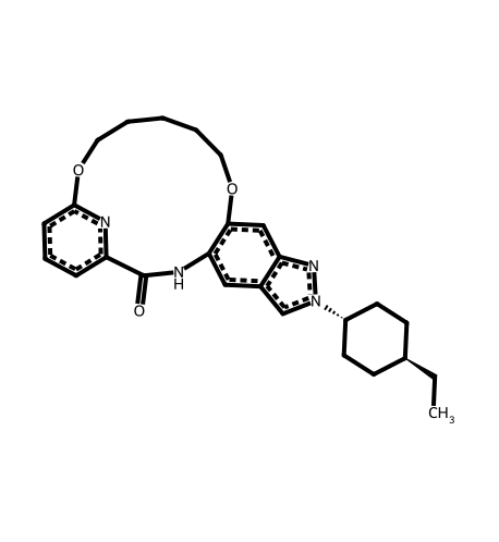 CC[C@H]1CC[C@H](n2cc3cc4c(cc3n2)OCCCCCOc2cccc(n2)C(=O)N4)CC1